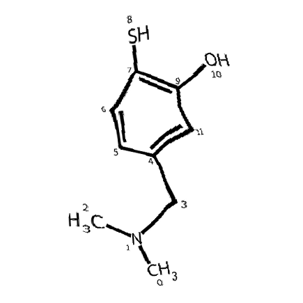 CN(C)Cc1ccc(S)c(O)c1